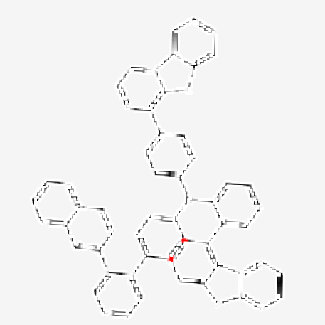 c1ccc(-c2ccc3ccccc3c2)c(-c2ccc(N(c3ccc(-c4cccc5c4oc4ccccc45)cc3)c3ccccc3-c3cccc4sc5ccccc5c34)cc2)c1